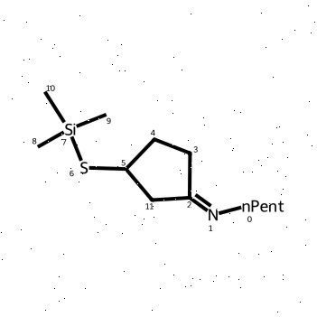 CCCCC/N=C1\CCC(S[Si](C)(C)C)C1